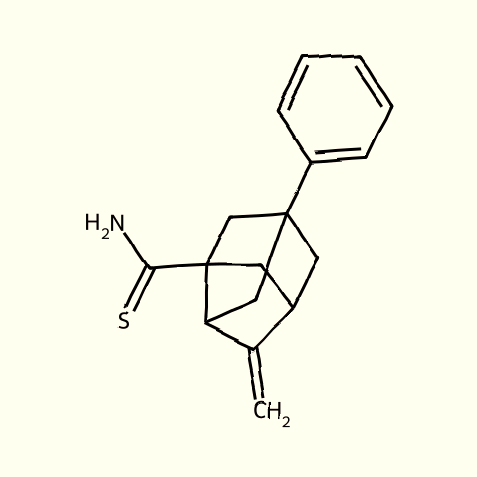 C=C1C2CC3(c4ccccc4)CC1C(C(N)=S)(C2)C3